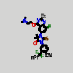 CCCC(F)(F)c1cc(N2C(=O)C(C)(C)N(c3cc(F)c4nc(CC)nc(OCCN(C)C)c4c3)C2=S)ccc1C#N